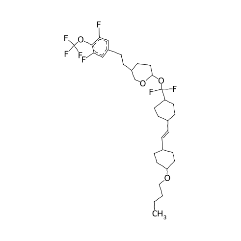 CCCCOC1CCC(/C=C/C2CCC(C(F)(F)OC3CCC(CCc4cc(F)c(OC(F)(F)F)c(F)c4)CO3)CC2)CC1